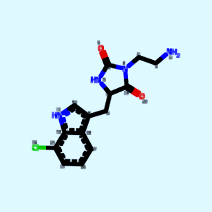 NCCN1C(=O)NC(Cc2c[nH]c3c(Cl)cccc23)C1=O